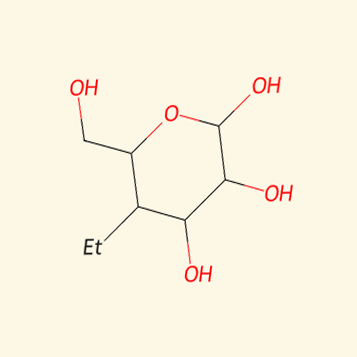 CCC1C(CO)OC(O)C(O)C1O